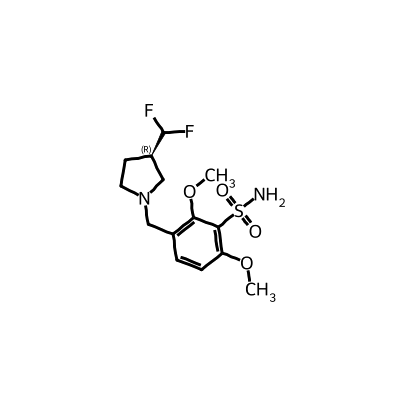 COc1ccc(CN2CC[C@@H](C(F)F)C2)c(OC)c1S(N)(=O)=O